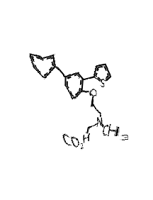 CN(CCOc1ccc(-c2ccccc2)cc1-c1cccs1)CC(=O)O